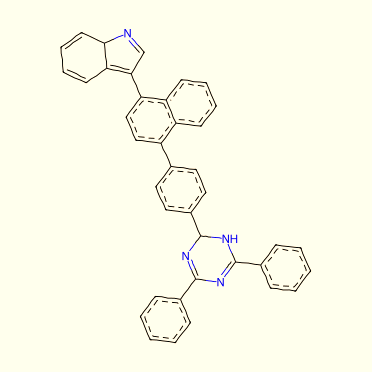 C1=CC2=C(c3ccc(-c4ccc(C5N=C(c6ccccc6)N=C(c6ccccc6)N5)cc4)c4ccccc34)C=NC2C=C1